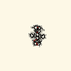 Cc1cccc2ccc(N3C(=C4N(c5ccc6cccc(C)c6c5)c5ccccc5N4c4ccc5cccc(C)c5c4)N(c4ccc5cccc(C)c5c4)c4ccccc43)cc12